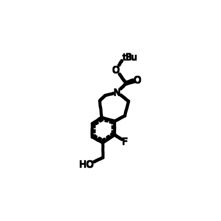 CC(C)(C)OC(=O)N1CCc2ccc(CO)c(F)c2CC1